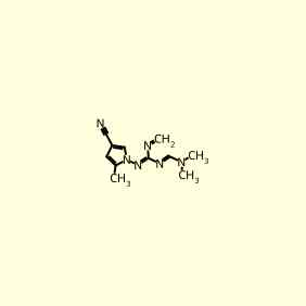 C=NC(/N=C/N(C)C)=N\n1cc(C#N)cc1C